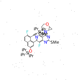 COc1nc(-c2cc(O[Si](C(C)C)(C(C)C)C(C)C)cc3ccc(F)c(C#C[Si](C(C)C)(C(C)C)C(C)C)c23)c(F)c2nc(SC)nc(N3CCCOC4CC43)c12